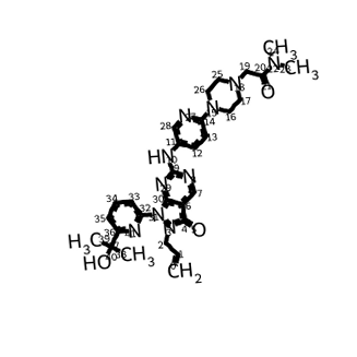 C=CCn1c(=O)c2cnc(Nc3ccc(N4CCN(CC(=O)N(C)C)CC4)nc3)nc2n1-c1cccc(C(C)(C)O)n1